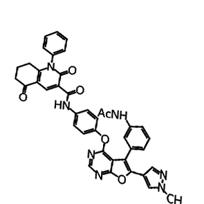 CC(=O)Nc1cccc(-c2c(-c3cnn(C)c3)oc3ncnc(Oc4ccc(NC(=O)c5cc6c(n(-c7ccccc7)c5=O)CCCC6=O)cc4)c23)c1